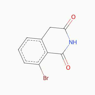 O=C1Cc2cccc(Br)c2C(=O)N1